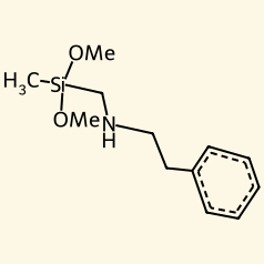 CO[Si](C)(CNCCc1ccccc1)OC